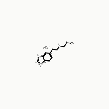 Cl.ClCCOCCc1ccc2[nH]cnc2c1